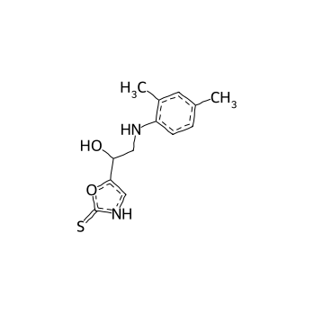 Cc1ccc(NCC(O)c2c[nH]c(=S)o2)c(C)c1